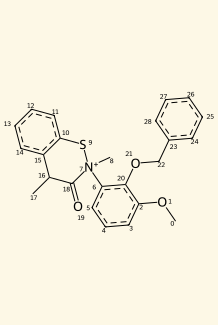 COc1cccc([N+]2(C)Sc3ccccc3C(C)C2=O)c1OCc1ccccc1